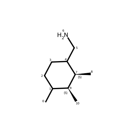 CC1CCC(CN)[C@@H](C)[C@H]1C